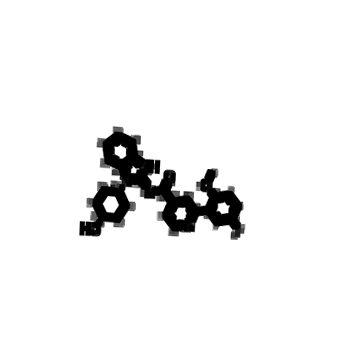 COc1ccc(F)cc1-c1cc(C(=O)/N=c2\[nH]c3ccccc3n2[C@H]2CC[C@@H](O)CC2)ccn1